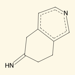 N=C1CCc2cnccc2C1